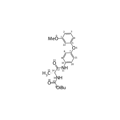 COc1cccc(Oc2ccc(NC(=O)[C@@H](C)NC(=O)OCC(C)C)cc2)c1